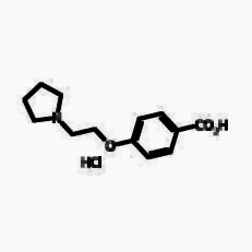 Cl.O=C(O)c1ccc(OCCN2CCCC2)cc1